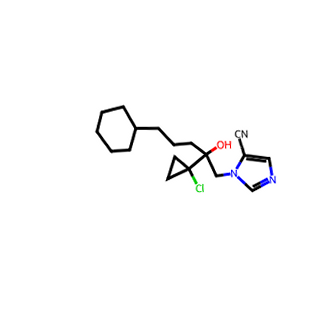 N#Cc1cncn1CC(O)(CCCC1CCCCC1)C1(Cl)CC1